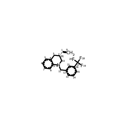 C=C[C@H]1Cc2ccccc2N(Cc2cccc(C(F)(F)F)c2)C1